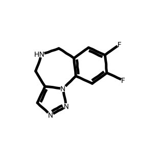 Fc1cc2c(cc1F)-n1nncc1CNC2